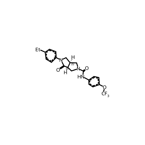 CCc1ccc(N2C[C@H]3CN(C(=O)Nc4ccc(OC(F)(F)F)cc4)C[C@H]3C2=O)cc1